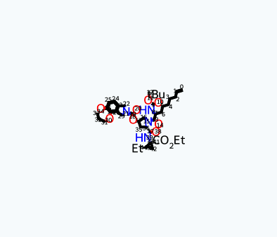 C=CCCCCCC(NC(=O)OC(C)(C)C)C(=O)N1C[C@H](OC(=O)N2Cc3ccc4c(c3C2)OCCCO4)C[C@H]1C(=O)N[C@]1(C(=O)OCC)C[C@H]1CC